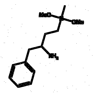 CO[Si](C)(CCC(N)Cc1ccccc1)OC